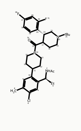 CC[C@H](NC(C)=O)c1cc(Cl)c(C)cc1C1CCN(C(=O)C2CCN(C(C)(C)C)C[C@H]2c2ccc(F)cc2F)CC1